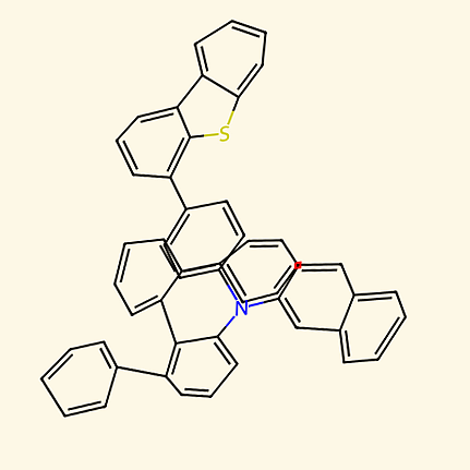 c1ccc(-c2ccccc2-c2c(-c3ccccc3)cccc2N(c2ccc(-c3cccc4c3sc3ccccc34)cc2)c2ccc3ccccc3c2)cc1